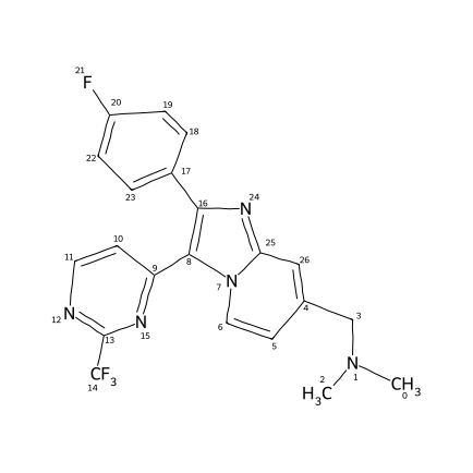 CN(C)Cc1ccn2c(-c3ccnc(C(F)(F)F)n3)c(-c3ccc(F)cc3)nc2c1